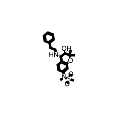 CN(c1ccc2c(c1)OC(C)(C)[C@H](O)[C@H]2NCCc1ccccc1)S(C)(=O)=O